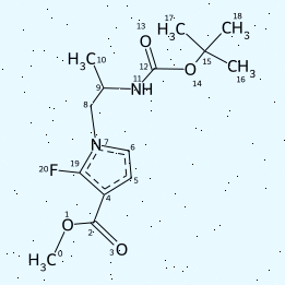 COC(=O)c1ccn(CC(C)NC(=O)OC(C)(C)C)c1F